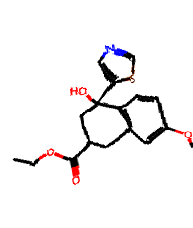 CCOC(=O)C1Cc2cc(OC)ccc2C(O)(c2cncs2)C1